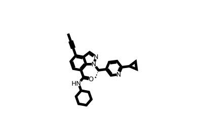 CC#Cc1ccc(C(=O)NC2CCCCC2)c2c1cnn2[C@@H](C)c1ccc(C2CC2)nc1